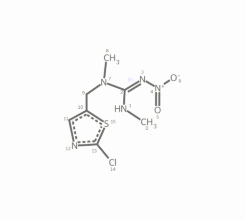 CN/C(=N\[N+](=O)[O-])N(C)Cc1cnc(Cl)s1